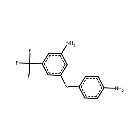 Nc1ccc(Sc2cc(N)cc(C(F)(F)F)c2)cc1